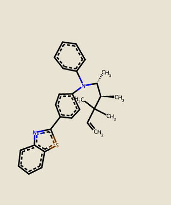 C=CC(C)(C)[C@H](C)[C@@H](C)N(c1ccccc1)c1ccc(-c2nc3ccccc3s2)cc1